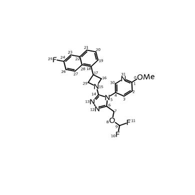 COc1ccc(-n2c(COC(F)F)nnc2N2CC(c3cccc4cc(F)ccc34)C2)cn1